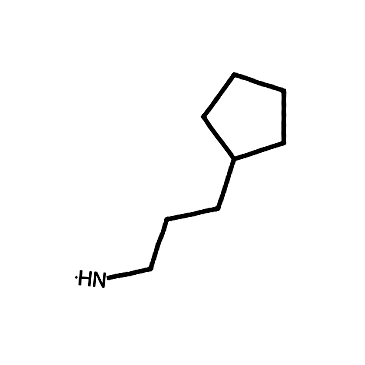 [NH]CCCC1CCCC1